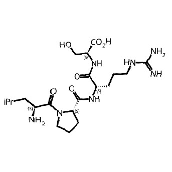 CC(C)C[C@H](N)C(=O)N1CCC[C@H]1C(=O)N[C@@H](CCCNC(=N)N)C(=O)N[C@@H](CO)C(=O)O